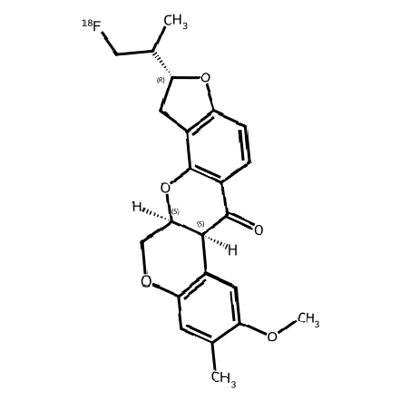 COc1cc2c(cc1C)OC[C@H]1Oc3c(ccc4c3C[C@H](C(C)C[18F])O4)C(=O)[C@@H]21